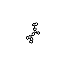 c1ccc(N(c2ccc(-c3cccc4ccccc34)cc2)c2ccc(-c3cc4ccccc4c4c3ccc3ccccc34)cc2)cc1